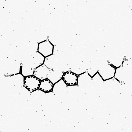 CNC(=O)c1nnc2ccc(-c3ccc(OCCCN(C)C(=O)OC(C)(C)C)nc3)cc2c1N[C@@H](C)C1CCOCC1